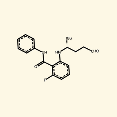 CC(C)(C)[C@H]([CH]CC=O)Nc1cccc(F)c1C(=O)Nc1ccccc1